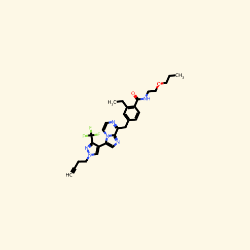 C#CCCn1cc(-c2cnc3c(Cc4ccc(C(=O)NCCOCCC)c(CC)c4)nccn23)c(C(F)(F)F)n1